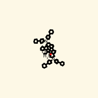 C=CC1=C(/C=C\C)c2c(ccc3ccccc23)C12c1c(ccc3cc(N(c4ccc(C5CCCCC5)cc4)c4ccc(C5CCCCC5)cc4)ccc13)-c1ccc3cc(N(c4ccc(C5CCCCC5)cc4)c4ccc(C5CCCCC5)cc4)ccc3c12